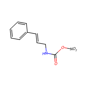 O=C(NCC=Cc1ccccc1)O[N+](=O)[O-]